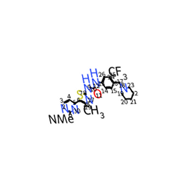 CNc1nccc(-c2sc(NC(=O)Nc3ccc(CN4CCCCC4)c(C(F)(F)F)c3)nc2C)n1